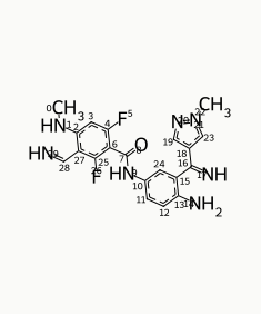 CNc1cc(F)c(C(=O)Nc2ccc(N)c(C(=N)c3cnn(C)c3)c2)c(F)c1C=N